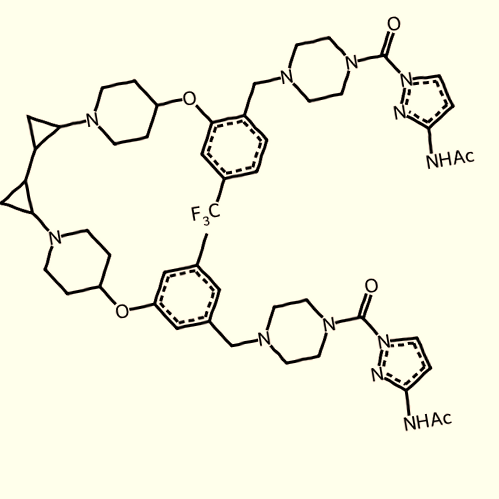 CC(=O)Nc1ccn(C(=O)N2CCN(Cc3cc(C)cc(OC4CCN(C5CC5C5CC5N5CCC(Oc6cc(C(F)(F)F)ccc6CN6CCN(C(=O)n7ccc(NC(C)=O)n7)CC6)CC5)CC4)c3)CC2)n1